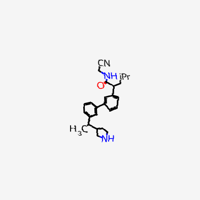 CC(C)CC(C(=O)NCC#N)c1cccc(-c2cccc(C(C)C3CCNC3)c2)c1